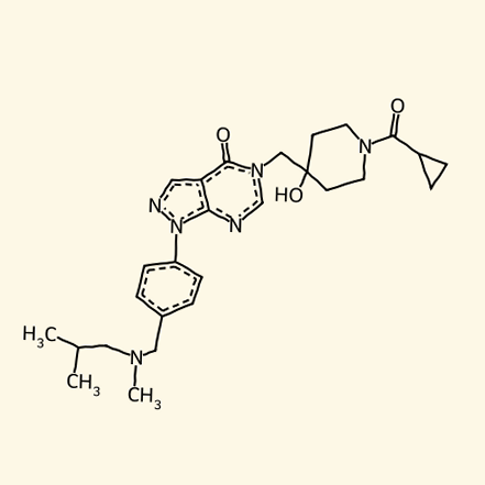 CC(C)CN(C)Cc1ccc(-n2ncc3c(=O)n(CC4(O)CCN(C(=O)C5CC5)CC4)cnc32)cc1